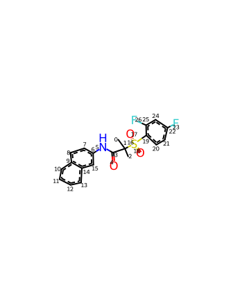 CC(C)(C(=O)Nc1ccc2ccccc2c1)S(=O)(=O)c1ccc(F)cc1F